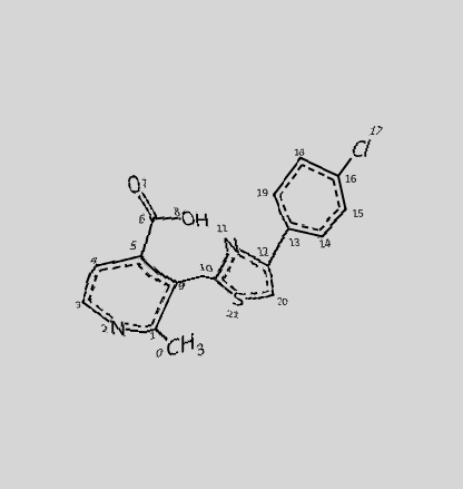 Cc1nccc(C(=O)O)c1-c1nc(-c2ccc(Cl)cc2)cs1